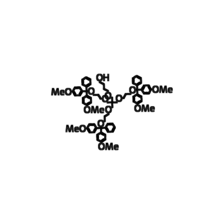 COc1ccc(C(OCCCOCC(COCCCCO)(COCCCOC(c2ccccc2)(c2ccc(OC)cc2)c2ccc(OC)cc2)COCCCOC(c2ccccc2)(c2ccc(OC)cc2)c2ccc(OC)cc2)(c2ccccc2)c2ccc(OC)cc2)cc1